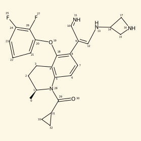 C[C@H]1CCc2c(ccc(/C(C=N)=C/NC3CNC3)c2Oc2cccc(F)c2F)N1C(=O)C1CC1